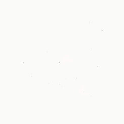 [SiH3]Oc1ccc(-c2ccccc2)c2oc3c4ccccc4ccc3c12